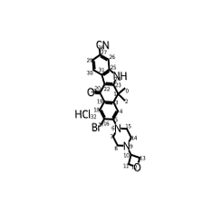 CC1(C)c2cc(N3CCN(C4COC4)CC3)c(Br)cc2C(=O)c2c1[nH]c1cc(C#N)ccc21.Cl